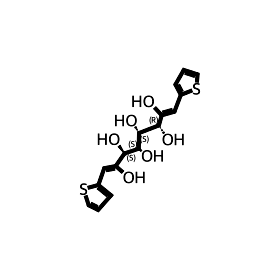 OC(=Cc1cccs1)[C@@H](O)[C@@H](O)[C@H](O)[C@@H](O)C(O)=Cc1cccs1